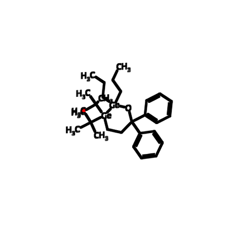 CC[CH2][Ge]1([CH2]CC)[O]C(c2ccccc2)(c2ccccc2)C[CH2][Ge]1([C](C)(C)C)[C](C)(C)C